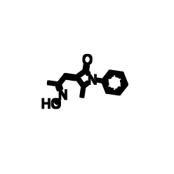 CC(/C=C1/C(=O)N(c2ccccc2)C1C)=NO